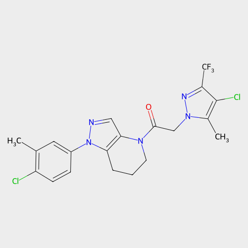 Cc1cc(-n2ncc3c2CCCN3C(=O)Cn2nc(C(F)(F)F)c(Cl)c2C)ccc1Cl